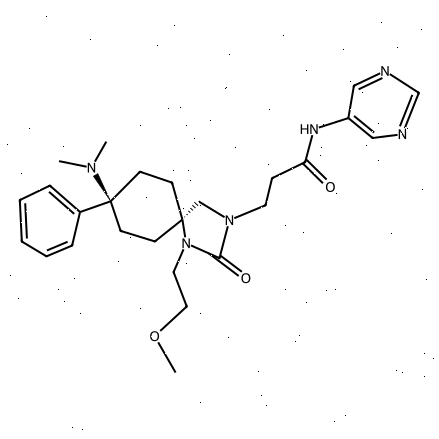 COCCN1C(=O)N(CCC(=O)Nc2cncnc2)C[C@]12CC[C@](c1ccccc1)(N(C)C)CC2